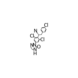 N#CC(Cc1ccc(Cl)cc1)c1c(Cl)cc(N2N=CCNC2=O)cc1Cl